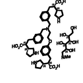 CNC[C@H](O)[C@@H](O)[C@H](O)[C@H](O)CO.O=C(O)[C@@H](Cc1cccc(CN(CCOc2cccc(C[C@H](C(=O)O)[C@H]3CCNC3)c2)Cc2cccc(C[C@H](C(=O)O)[C@H]3CCNC3)c2)c1)[C@H]1CCNC1